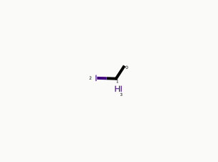 CCI.I